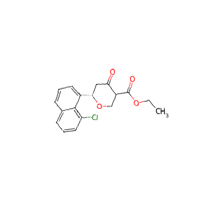 CCOC(=O)C1CO[C@H](c2cccc3cccc(Cl)c23)CC1=O